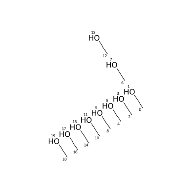 CO.CO.CO.CO.CO.CO.CO.CO.CO.CO